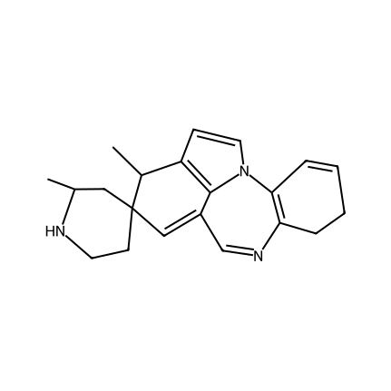 CC1CC2(C=C3C=NC4=C(C=CCC4)n4ccc(c43)C2C)CCN1